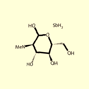 CN[C@H]1C(O)O[C@H](CO)[C@@H](O)[C@@H]1O.[SbH3]